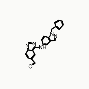 O=Cc1ccc2ncnc(Nc3ccc4c(cnn4Cc4ccccc4)c3)c2c1